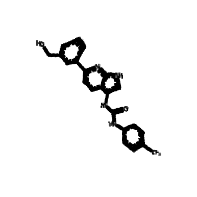 O=C(Nc1ccc(C(F)(F)F)cc1)Nc1c[nH]c2nc(-c3cccc(CO)c3)ccc12